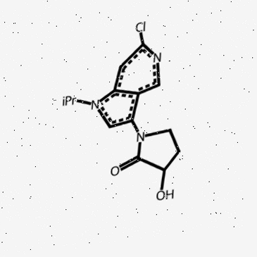 CC(C)n1cc(N2CCC(O)C2=O)c2cnc(Cl)cc21